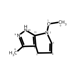 CON1C=[C]Cc2c(C)n[nH]c21